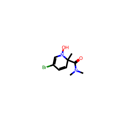 CN(C)C(=O)C1(C)C=CC(Br)=CN1O